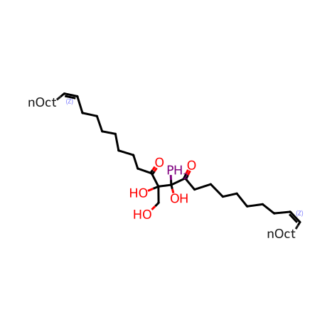 CCCCCCCC/C=C\CCCCCCCC(=O)C(O)(P)C(O)(CO)C(=O)CCCCCCC/C=C\CCCCCCCC